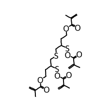 C=C(C)C(=O)OCCC(CSCC(CCOC(=O)C(=C)C)SOC(=O)C(=C)C)SOC(=O)C(=C)C